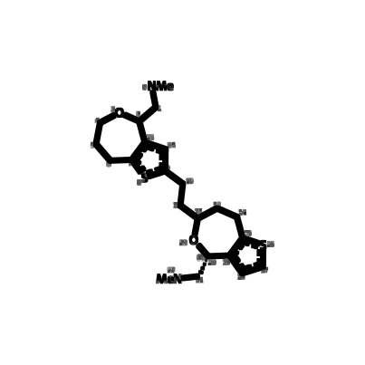 CNCC1OCCCc2sc(CCC3CCc4sccc4[C@H](CNC)O3)cc21